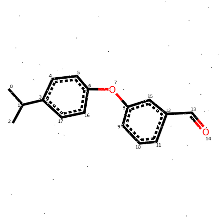 CC(C)c1ccc(Oc2cccc(C=O)c2)cc1